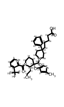 CCC[C@H]1N(C(=O)c2ncccc2C(F)(F)F)CCC[C@@]1(Oc1csc(C)c1)C(=O)N1CCC(CCCCC(=O)O)(c2ccccc2)CC1